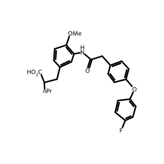 CCCC(Cc1ccc(OC)c(NC(=O)Cc2ccc(Oc3ccc(F)cc3)cc2)c1)C(=O)O